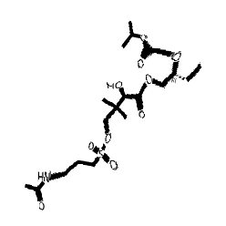 CC[C@H](COC(=O)C(O)C(C)(C)COS(=O)(=O)CCCNC(C)=O)OC(=O)OC(C)C